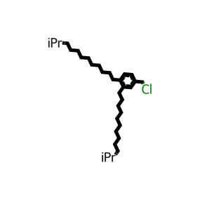 CC(C)CCCCCCCCCCc1ccc(CCl)cc1CCCCCCCCCCC(C)C